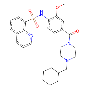 COc1cc(C(=O)N2CCN(CC3CCCCC3)CC2)ccc1NS(=O)(=O)c1cccc2cccnc12